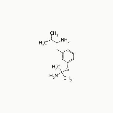 CC(C)C(N)Cc1cccc(SC(C)(C)N)c1